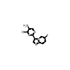 Nc1cnc(-c2cnc3ccc(F)cn23)nc1Cl